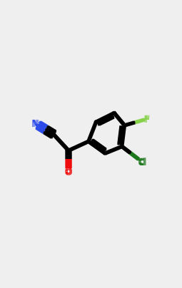 N#CC(=O)c1ccc(F)c(Cl)c1